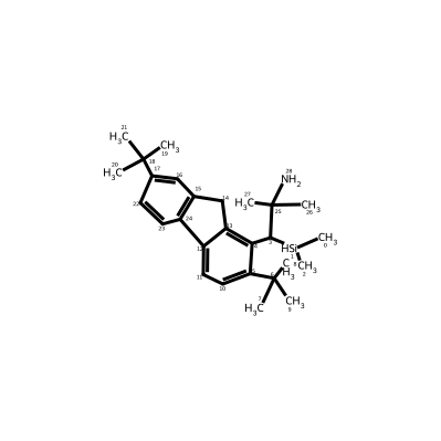 C[SiH](C)C(c1c(C(C)(C)C)ccc2c1Cc1cc(C(C)(C)C)ccc1-2)C(C)(C)N